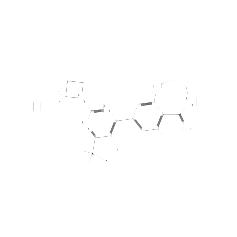 C[C@H]1[C@H](O)CN1c1nc(-c2cc(F)c3c(c2)OCCNC3=O)c2c(n1)C(F)(F)CC2